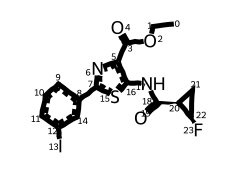 CCOC(=O)c1nc(-c2cccc(I)c2)sc1NC(=O)[C@H]1C[C@H]1F